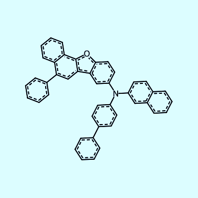 c1ccc(-c2ccc(N(c3ccc4ccccc4c3)c3ccc4oc5c6ccccc6c(-c6ccccc6)cc5c4c3)cc2)cc1